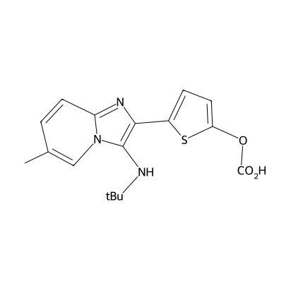 Cc1ccc2nc(-c3ccc(OC(=O)O)s3)c(NC(C)(C)C)n2c1